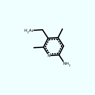 Cc1cc(N)nc(C)c1C[AsH2]